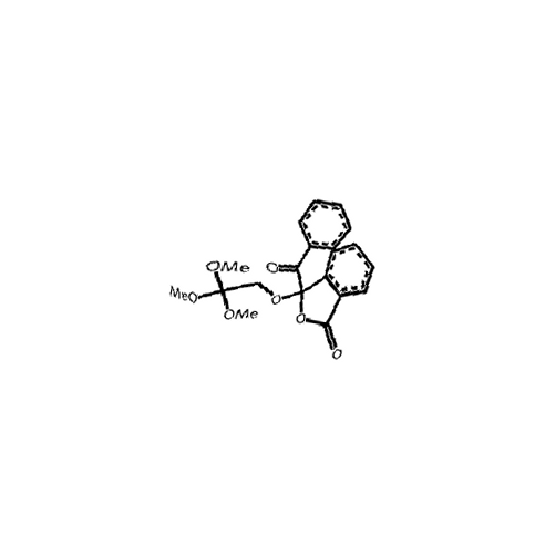 COC(COC1(C(=O)c2ccccc2)OC(=O)c2ccccc21)(OC)OC